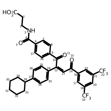 O=C(O)CCNC(=O)c1ccc(C(=O)/C(=C\C(=O)c2cc(C(F)(F)F)cc(C(F)(F)F)c2)c2ccc(C3CCCCC3)cc2)cc1